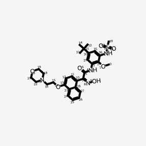 COc1c(NC(=O)C(=NO)c2ccc(OCCN3CCOCC3)c3ccccc23)cc(C(C)(C)C)cc1NS(C)(=O)=O